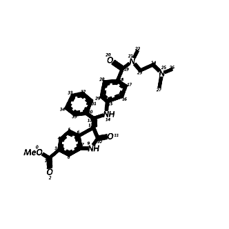 COC(=O)c1ccc2c(c1)NC(=O)/C2=C(\Nc1ccc(C(=O)N(C)CCN(C)C)cc1)c1ccccc1